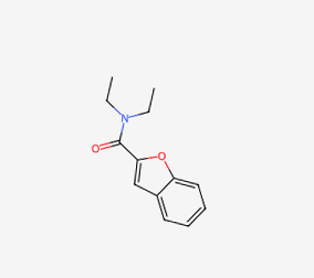 CCN(CC)C(=O)c1cc2ccccc2o1